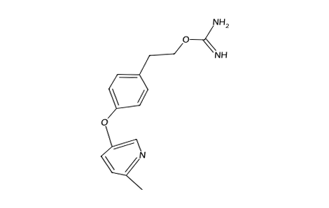 Cc1ccc(Oc2ccc(CCOC(=N)N)cc2)cn1